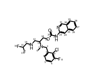 CN(Cc1cccc(F)c1Cl)C(CNCC(F)F)COC(=O)Nc1cc2ccccc2cn1